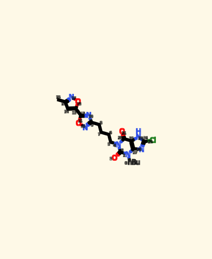 CCCCn1c(=O)n(CCCCc2noc(-c3cc(C)no3)n2)c(=O)c2[nH]c(Cl)nc21